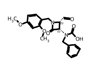 COc1ccc(CN2C(=O)[C@@H](N(Cc3ccccc3)C(=O)O)[C@H]2C=O)c(OC)c1